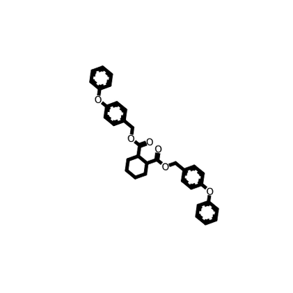 O=C(OCc1ccc(Oc2ccccc2)cc1)C1CCCCC1C(=O)OCc1ccc(Oc2ccccc2)cc1